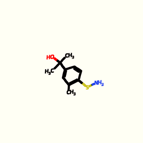 Cc1cc(C(C)(C)O)ccc1SN